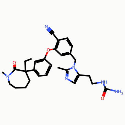 CCC1(c2cccc(Oc3cc(Cn4c(CCNC(N)=O)cnc4C)ccc3C#N)c2)CCCCN(C)C1=O